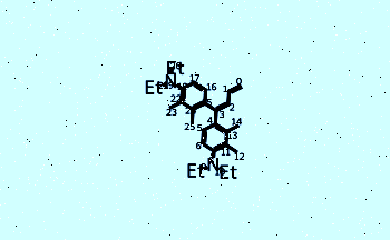 C=CC=C(c1ccc(N(CC)CC)c(C)c1C)c1ccc(N(CC)CC)c(C)c1C